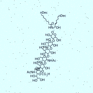 CCCCCCCCCCCCC/C=C/[C@@H](O)[C@H](CO[C@@H]1OC(CO)[C@@H](O[C@@H]2OC(CO)[C@H](O)[C@H](O[C@H]3OC(CO)[C@H](O)[C@H](O[C@@H]4OC(CO)[C@H](O)[C@H](O[C@@H]5OC(CO)[C@H](O)[C@H](O[C@]6(C(=O)O)CC(O)[C@@H](NC(C)=O)C([C@H](O)[C@H](O)CO)O6)C5O)C4NC(C)=O)C3O)C2O)[C@H](O)C1O)NC(=O)CCCCCCCCCCCCCCCCC